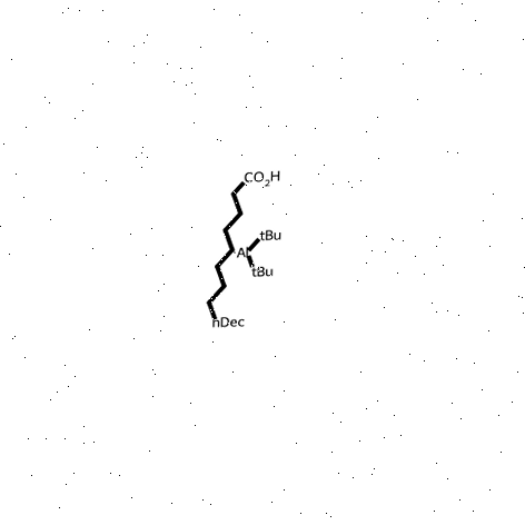 CCCCCCCCCCCCCCCCCC(=O)O.C[C](C)(C)[Al][C](C)(C)C